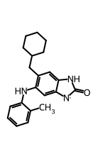 Cc1ccccc1Nc1cc2c(cc1CC1CCCCC1)NC(=O)[N]2